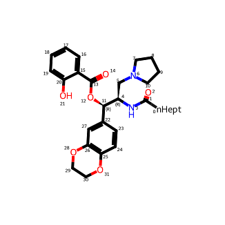 CCCCCCCC(=O)N[C@H](CN1CCCC1)[C@H](OC(=O)c1ccccc1O)c1ccc2c(c1)OCCO2